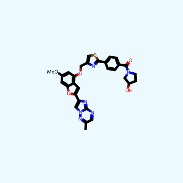 COc1cc(OCc2csc(-c3ccc(C(=O)N4CCC(O)C4)cc3)n2)c2cc(-c3cn4nc(C)cnc4n3)oc2c1